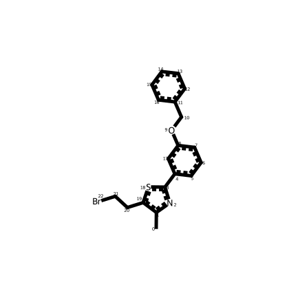 Cc1nc(-c2cccc(OCc3ccccc3)c2)sc1CCBr